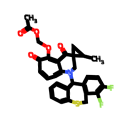 CC(=O)OCOc1c2c(cccc1=O)N(C1c3ccccc3SCc3c1ccc(F)c3F)CC1(CC1C)C2=O